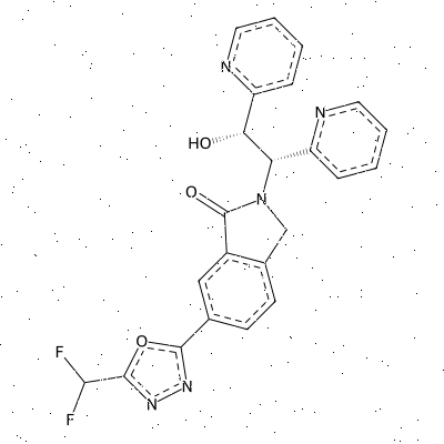 O=C1c2cc(-c3nnc(C(F)F)o3)ccc2CN1[C@@H](c1ccccn1)[C@H](O)c1ccccn1